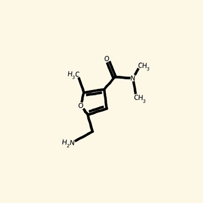 Cc1oc(CN)cc1C(=O)N(C)C